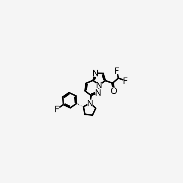 O=C(c1cnc2ccc(N3CCC[C@@H]3c3cccc(F)c3)nn12)C(F)F